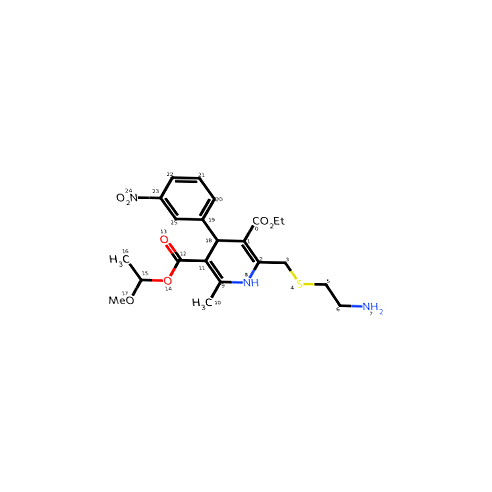 CCOC(=O)C1=C(CSCCN)NC(C)=C(C(=O)OC(C)OC)C1c1cccc([N+](=O)[O-])c1